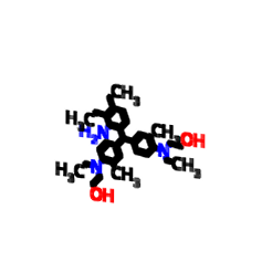 CCc1ccc(C(c2ccc(N(CC)CCO)c(C)c2)c2ccc(N(CC)CCO)c(C)c2)c(N)c1CC